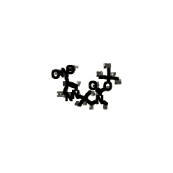 CN(CC(C)(C)n1cc([N+](=O)[O-])cn1)C(=O)OC(C)(C)C